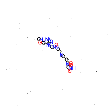 Nc1ncnc2c1c(-c1ccc(Oc3ccccc3)cc1)nn2C1CCCN(C(=O)N2CCC(CCN3CCC(c4ccc5c(c4)CN(C4CCC(=O)NC4=O)C5=O)CC3)CC2)C1